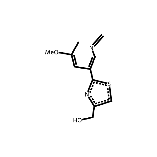 C=N/C=C(\C=C(/C)OC)c1nc(CO)cs1